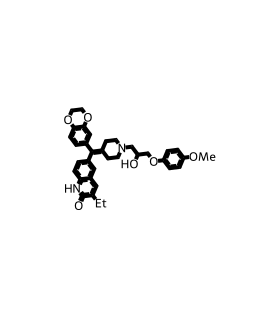 CCc1cc2cc(C(=C3CCN(CC(O)COc4ccc(OC)cc4)CC3)c3ccc4c(c3)OCCO4)ccc2[nH]c1=O